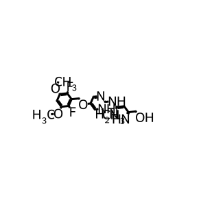 CN/C=C(\C=N/CN/C(N)=C/C(=N)CO)OCc1c(F)c(OC)cc(OC)c1F